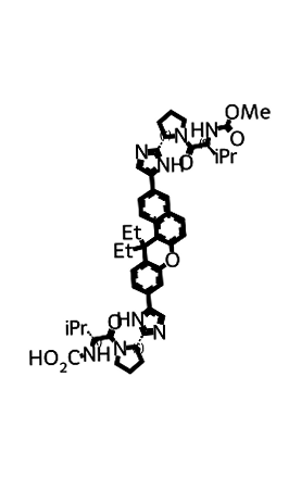 CCC1(CC)c2ccc(-c3cnc([C@@H]4CCCN4C(=O)[C@H](NC(=O)O)C(C)C)[nH]3)cc2Oc2ccc3cc(-c4cnc([C@@H]5CCCN5C(=O)[C@@H](NC(=O)OC)C(C)C)[nH]4)ccc3c21